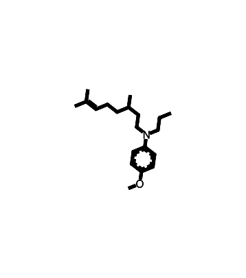 CCCN(CCC(C)CCC=C(C)C)c1ccc(OC)cc1